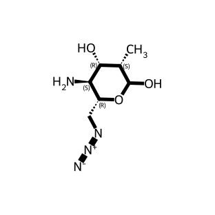 C[C@@H]1C(O)O[C@H](CN=[N+]=[N-])[C@@H](N)[C@@H]1O